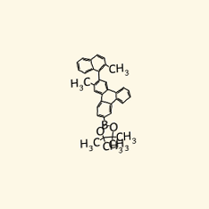 Cc1cc2c3ccc(B4OC(C)(C)C(C)(C)O4)cc3c3ccccc3c2cc1-c1c(C)ccc2ccccc12